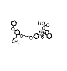 CCCc1cc(Oc2ccccc2)ccc1OCCCOc1ccc(S(=O)(=O)N2c3ccccc3C[C@H]2OC(=O)O)cc1